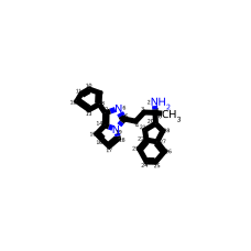 CC(N)(CCc1nc(-c2ccccc2)c2ccccn12)C1Cc2ccccc2C1